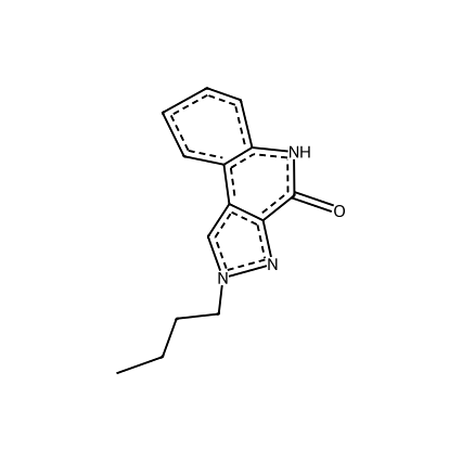 CCCCn1cc2c(n1)c(=O)[nH]c1ccccc12